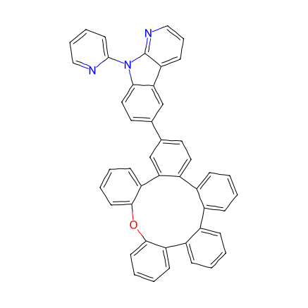 c1ccc(-n2c3ccc(-c4ccc5c(c4)-c4ccccc4Oc4ccccc4-c4ccccc4-c4ccccc4-5)cc3c3cccnc32)nc1